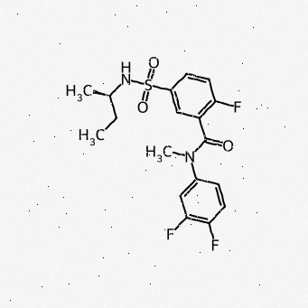 CC[C@@H](C)NS(=O)(=O)c1ccc(F)c(C(=O)N(C)c2ccc(F)c(F)c2)c1